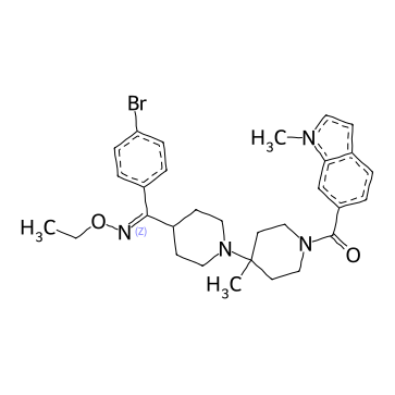 CCO/N=C(\c1ccc(Br)cc1)C1CCN(C2(C)CCN(C(=O)c3ccc4ccn(C)c4c3)CC2)CC1